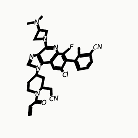 C=CC(=O)N1CCC(n2cnc3c(N4CC(N(C)C)C4)nc4c(F)c(-c5cccc(C#N)c5C)c(Cl)cc4c32)CC1CC#N